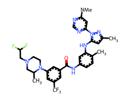 CNc1cc(-n2nc(C)cc2Nc2cc(NC(=O)c3cc(N4CCN(CC(F)F)CC4C)cc(C(F)(F)F)c3)ccc2C)ncn1